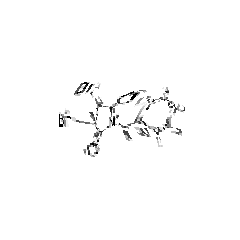 O=C1C(Br)C(Br)C(=O)N1Cc1ccccc1